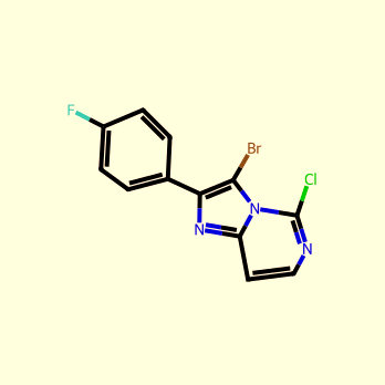 Fc1ccc(-c2nc3ccnc(Cl)n3c2Br)cc1